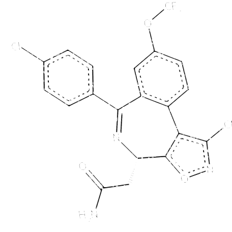 Cc1noc2c1-c1ccc(OC(F)(F)F)cc1C(c1ccc(Cl)cc1)=N[C@H]2CC(N)=O